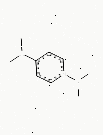 CN(C)c1cc[n+]([SiH](C)Cl)cc1